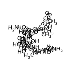 C/C=C/[C@@H]1O[C@H](C(/C=C/C=C(\C)C[C@@H](C)/C=C(C)\C=C\[C@H]2CC=CC(=O)O2)CNC(=O)OCCc2cn(CCC[C@H](NC(=O)[C@@H](CC(=O)O)NC(=O)[C@@H](CC(=O)O)NC(=O)[C@@H](CC(=O)O)NC(=O)CC[C@@H](C)NC(=O)c3ccc(NCc4cnc5nc(N)nc(O)c5n4)cc3)C(=O)N[C@H](CC(=O)O)C(=O)N[C@H](CC(=O)O)C(=O)N[C@H](CCCCN)C(=O)O)nn2)C[C@@H](O)[C@@H]1C